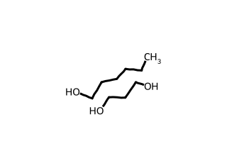 CCCCCCO.OCCCO